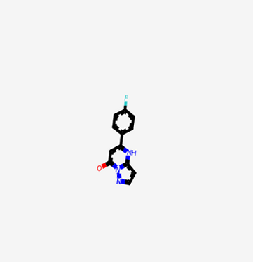 O=c1cc(-c2ccc(F)cc2)[nH]c2ccnn12